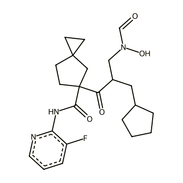 O=CN(O)CC(CC1CCCC1)C(=O)C1(C(=O)Nc2ncccc2F)CCC2(CC2)C1